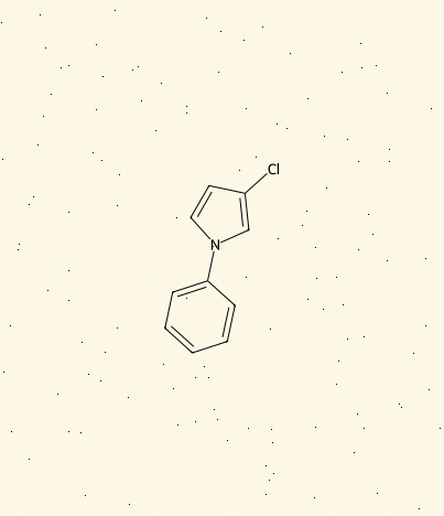 Clc1ccn(-c2ccccc2)c1